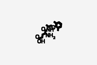 Cc1cccc(C)c1OCC(C)NC(=O)C(N)CCC(=O)O